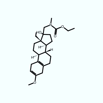 CCOC(=O)N(C)C[C@]1(O)CC[C@H]2[C@@H]3CCC4=C(CC=C(OC)C4)[C@H]3CC[C@@]21CC